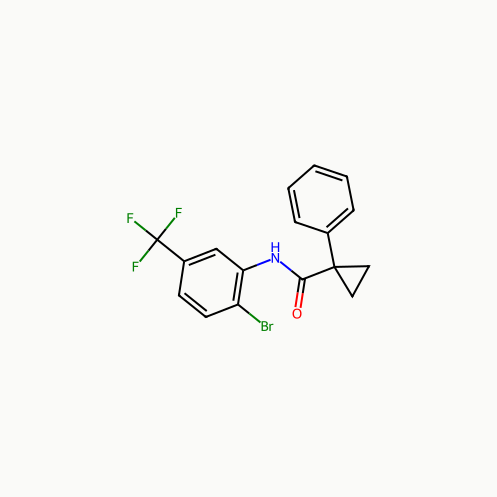 O=C(Nc1cc(C(F)(F)F)ccc1Br)C1(c2ccccc2)CC1